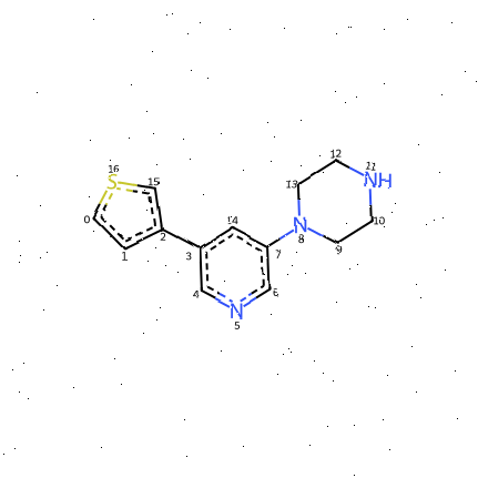 c1cc(-c2cncc(N3CCNCC3)c2)cs1